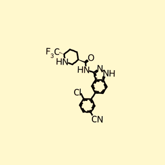 N#Cc1ccc(Cl)c(-c2ccc3[nH]nc(NC(=O)[C@@H]4CC[C@@H](C(F)(F)F)NC4)c3c2)c1